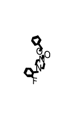 O=C(OCc1ccccc1)N1CCN(Cc2ccccc2F)CC1